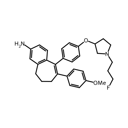 COc1ccc(C2=C(c3ccc(OC4CCN(CCCF)C4)cc3)c3ccc(N)cc3CCC2)cc1